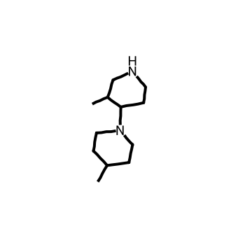 CC1CCN(C2CCNCC2C)CC1